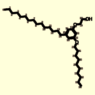 CCCCCCCCCCCCCCCc1cc(OCCO)cc(OCCCCCCCCCC)c1